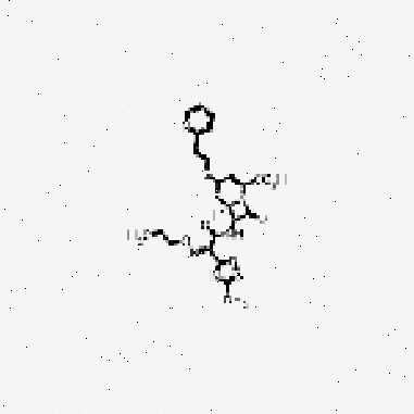 C=CCO/N=C(\C(=O)NC1C(=O)N2C(C(=O)O)=CC(S/C=C/c3ccccn3)S[C@H]12)c1nsc(N)n1